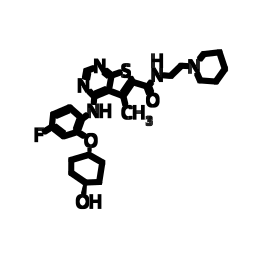 Cc1c(C(=O)NCCN2CCCCC2)sc2ncnc(Nc3ccc(F)cc3O[C@H]3CC[C@H](O)CC3)c12